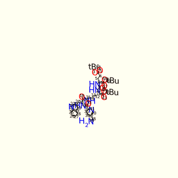 CC(C)(C)OC(=O)CC[C@H](NC(=O)N[C@@H](CCCCNC(=O)[C@@H](Cc1cnc2ccccc2c1)NC(=O)c1ccc(CN)cn1)C(=O)OC(C)(C)C)C(=O)OC(C)(C)C